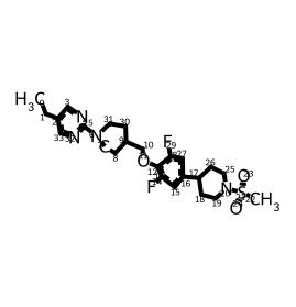 CCc1cnc(N2CCC(COc3c(F)cc(C4CCN(S(C)(=O)=O)CC4)cc3F)CC2)nc1